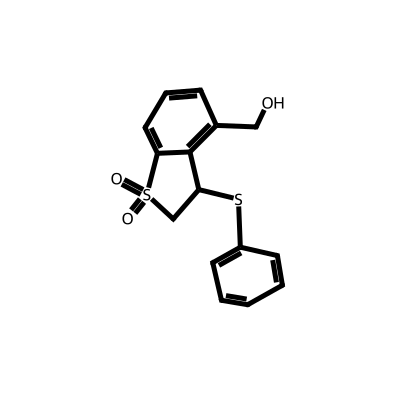 O=S1(=O)CC(Sc2ccccc2)c2c(CO)cccc21